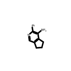 CC(C)c1ncc2c(c1N)CCC2